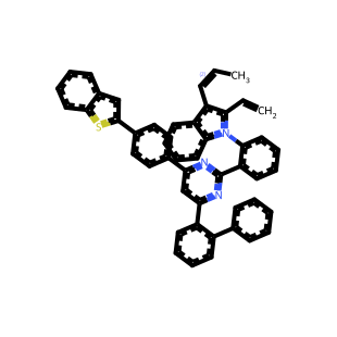 C=Cc1c(/C=C\C)c2ccccc2n1-c1ccccc1-c1nc(-c2ccc(-c3cc4ccccc4s3)cc2)cc(-c2ccccc2-c2ccccc2)n1